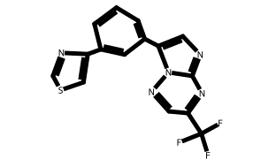 FC(F)(F)c1cnn2c(-c3cccc(-c4cscn4)c3)cnc2n1